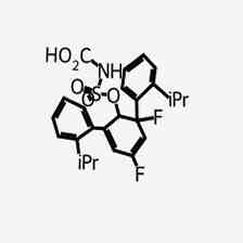 CC(C)c1ccccc1C1=CC(F)=CC(F)(c2ccccc2C(C)C)C1OS(=O)(=O)NC(=O)O